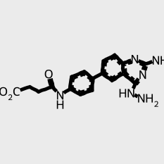 NNc1nc(N)nc2ccc(-c3ccc(NC(=O)CCC(=O)O)cc3)cc12